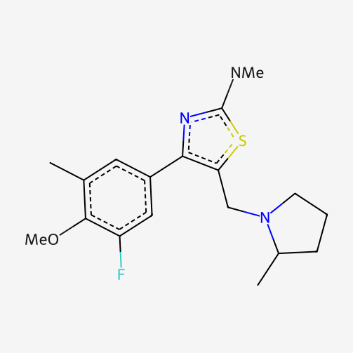 CNc1nc(-c2cc(C)c(OC)c(F)c2)c(CN2CCCC2C)s1